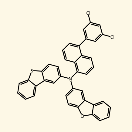 Clc1cc(Cl)cc(-c2cccc3c(N(c4ccc5oc6ccccc6c5c4)c4ccc5sc6ccccc6c5c4)cccc23)c1